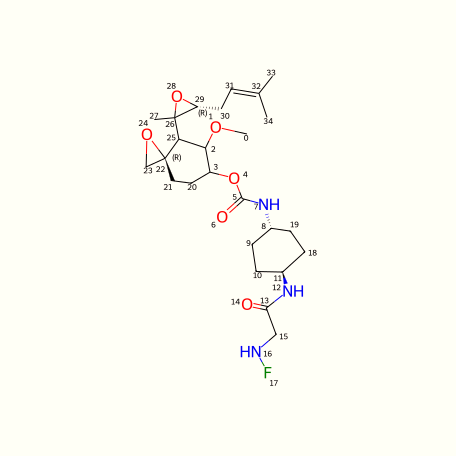 COC1C(OC(=O)N[C@H]2CC[C@H](NC(=O)CNF)CC2)CC[C@]2(CO2)C1C1(C)O[C@@H]1CC=C(C)C